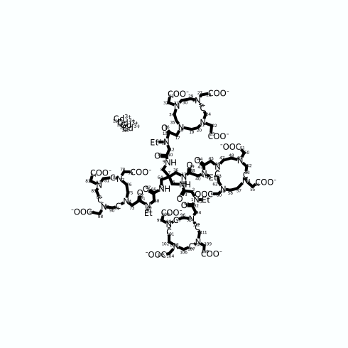 CCN(CC(=O)NCC(CNC(=O)CN(CC)C(=O)CN1CCN(CC(=O)[O-])CCN(CC(=O)[O-])CCN(CC(=O)[O-])CC1)(CNC(=O)CN(CC)C(=O)CN1CCN(CC(=O)[O-])CCN(CC(=O)[O-])CCN(CC(=O)[O-])CC1)CNC(=O)CN(CC)C(=O)CN1CCN(CC(=O)[O-])CCN(CC(=O)[O-])CCN(CC(=O)[O-])CC1)C(=O)CN1CCN(CC(=O)[O-])CCN(CC(=O)[O-])CCN(CC(=O)[O-])CC1.[Gd+3].[Gd+3].[Gd+3].[Gd+3]